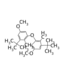 COc1cc(Oc2cc(OC)cc(C(C)(C)C)c2C)c(C)c(C(C)(C)C)c1